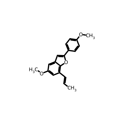 C/C=C/c1cc(OC)cc2cc(-c3ccc(OC)cc3)oc12